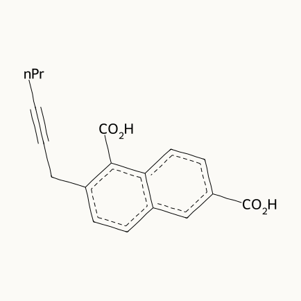 CCCC#CCc1ccc2cc(C(=O)O)ccc2c1C(=O)O